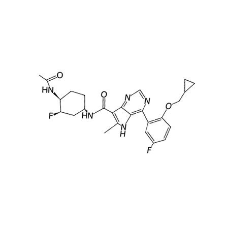 CC(=O)N[C@H]1CC[C@@H](NC(=O)c2c(C)[nH]c3c(-c4cc(F)ccc4OCC4CC4)ncnc23)C[C@H]1F